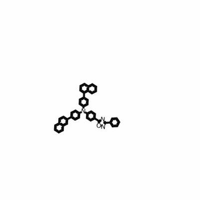 c1ccc(-c2noc(-c3ccc(N(c4ccc(-c5ccc6ccccc6c5)cc4)c4ccc(-c5cccc6ccccc56)cc4)cc3)n2)cc1